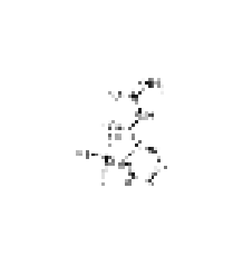 NC(=O)NC(=O)c1ccccc1C(F)(F)F